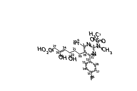 CC(C)c1nc(N(C)S(C)(=O)=O)nc(-c2ccc(F)cc2)c1CC[C@H](O)/C=C(\O)CC(=O)O